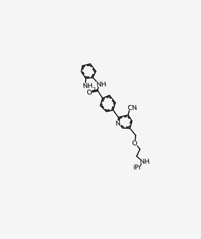 CC(C)NCCOCc1cnc(-c2ccc(C(=O)Nc3ccccc3N)cc2)c(C#N)c1